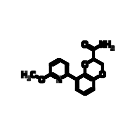 COc1cccc(-c2cccc3c2OC(C(N)=O)CO3)n1